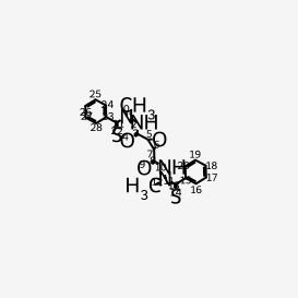 CN(NC(=O)C1OC1C(=O)NN(C)C(=S)c1ccccc1)C(=S)c1ccccc1